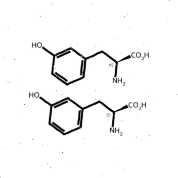 N[C@@H](Cc1cccc(O)c1)C(=O)O.N[C@@H](Cc1cccc(O)c1)C(=O)O